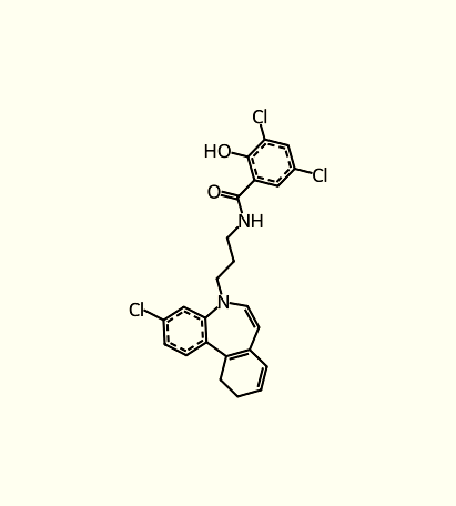 O=C(NCCCN1C=CC2=C(CCC=C2)c2ccc(Cl)cc21)c1cc(Cl)cc(Cl)c1O